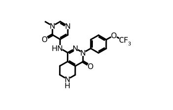 Cn1cncc(Nc2nn(-c3ccc(OC(F)(F)F)cc3)c(=O)c3c2CCNC3)c1=O